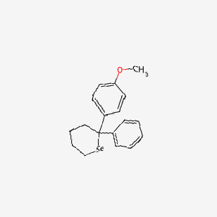 COc1ccc(C2(c3ccccc3)CCCC[Se]2)cc1